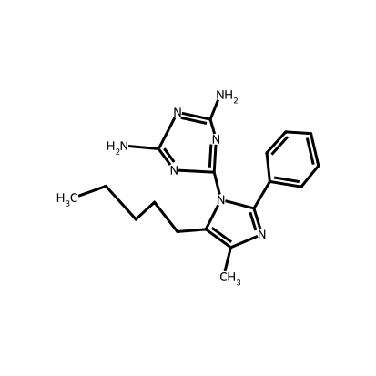 CCCCCc1c(C)nc(-c2ccccc2)n1-c1nc(N)nc(N)n1